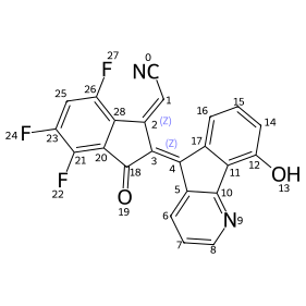 N#C/C=C1/C(=C2/c3cccnc3-c3c(O)cccc32)C(=O)c2c(F)c(F)cc(F)c21